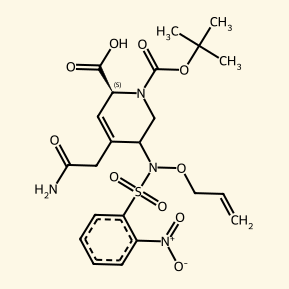 C=CCON(C1CN(C(=O)OC(C)(C)C)[C@H](C(=O)O)C=C1CC(N)=O)S(=O)(=O)c1ccccc1[N+](=O)[O-]